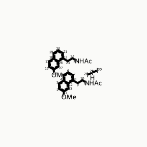 COc1ccc2cccc(CCNC(C)=O)c2c1.COc1ccc2cccc(CCNC(C)=O)c2c1.I[IH]I